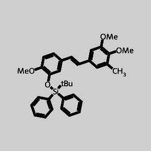 COc1ccc(C=Cc2cc(C)c(OC)c(OC)c2)cc1O[Si](c1ccccc1)(c1ccccc1)C(C)(C)C